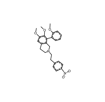 COc1ccccc1-c1c2c(cc(OC)c1OC)CCN(CCc1ccc([N+](=O)[O-])cc1)C2